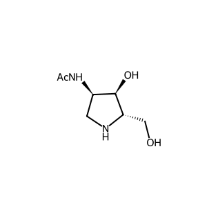 CC(=O)N[C@@H]1CN[C@@H](CO)[C@@H]1O